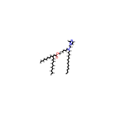 CCCCCCCCCCCCCCN(CCCCCCOC(=O)CC(CCCCCCCC)CCCCCCCCCC)CCn1ccnc1C